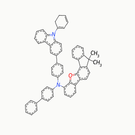 CC1(C)c2ccccc2-c2c1ccc1c2oc2c(N(c3ccc(-c4ccccc4)cc3)c3ccc(-c4ccc5c(c4)c4ccccc4n5C4=CC=CCC4)cc3)cccc21